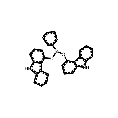 c1ccc(B(Oc2cccc3[nH]c4ccccc4c23)Oc2cccc3[nH]c4ccccc4c23)cc1